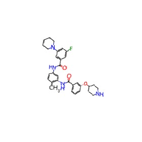 Cc1ccc(NC(=O)c2cc(F)cc(N3CCCCC3)c2)cc1NC(=O)c1cccc(OC2CCNCC2)c1